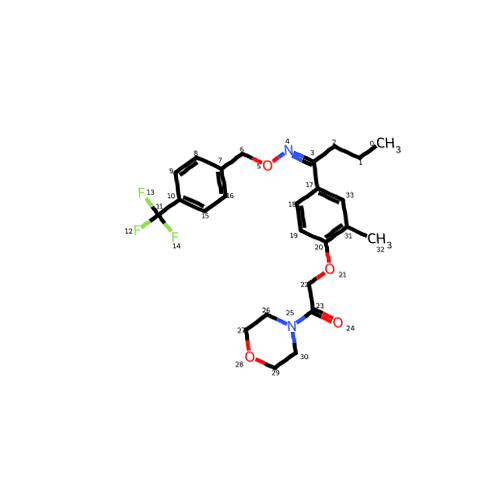 CCCC(=NOCc1ccc(C(F)(F)F)cc1)c1ccc(OCC(=O)N2CCOCC2)c(C)c1